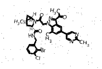 CC(=O)c1nn(CC(=O)N2[C@H](C(=O)NCc3cccc(Cl)c3Br)C[C@@]3(C)C[C@@H]23)c2c(C)cc(-c3cnc(C)nc3)cc12